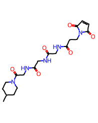 CC1CCN(C(=O)CNC(=O)CNC(=O)CNC(=O)CCN2C(=O)C=CC2=O)CC1